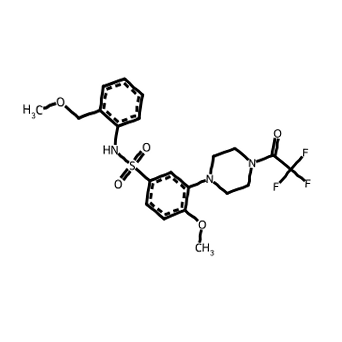 COCc1ccccc1NS(=O)(=O)c1ccc(OC)c(N2CCN(C(=O)C(F)(F)F)CC2)c1